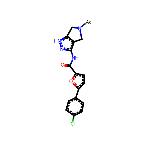 CC(=O)N1Cc2[nH]nc(NC(=O)c3ccc(-c4ccc(Cl)cc4)o3)c2C1